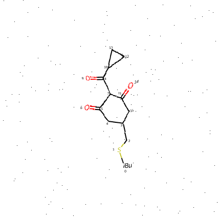 CCC(C)SCC1CC(=O)C(C(=O)C2CC2)C(=O)C1